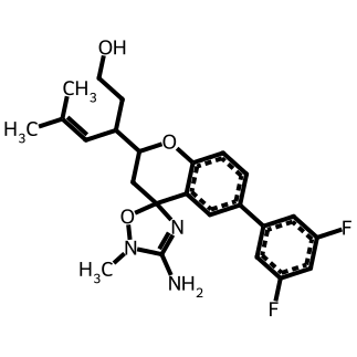 CC(C)=CC(CCO)C1CC2(N=C(N)N(C)O2)c2cc(-c3cc(F)cc(F)c3)ccc2O1